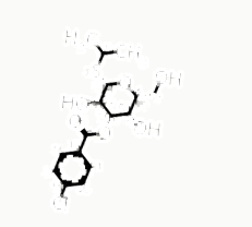 CC(C)S[C@@H]1O[C@H](CO)[C@H](O)[C@H](OC(=O)c2ccc(Cl)cc2)[C@H]1O